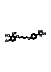 CCCc1c(OCCCCOc2ccc(-c3nn[nH]n3)cc2)ccc(C(C)=O)c1O